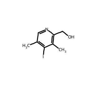 Cc1cnc(CO)c(C)c1I